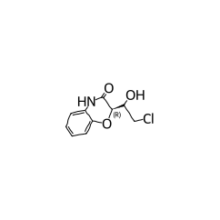 O=C1Nc2ccccc2O[C@@H]1C(O)CCl